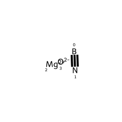 B#N.[Mg+2].[O-2]